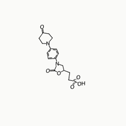 O=C1CCN(c2ccc(N3CC(CCS(=O)(=O)O)OC3=O)cc2)CC1